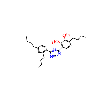 CCCCc1ccc(-c2ncnc(-c3ccc(CCCC)c(O)c3O)n2)c(CCCC)c1